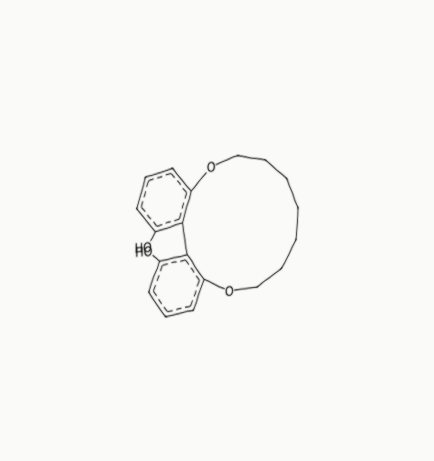 Oc1cccc2c1-c1c(O)cccc1OCCCCCCCO2